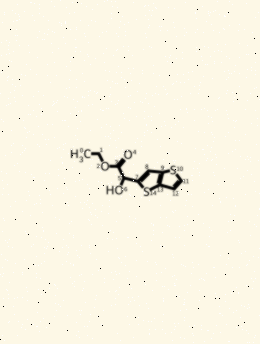 CCOC(=O)C(O)c1cc2sccc2s1